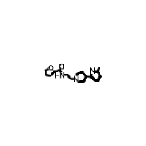 Cc1cccc(C2CCN(CCNC(=O)C3CCCO3)CC2)n1